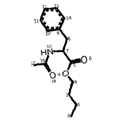 CCCCOC(=O)C(Cc1ccccc1)NC(C)=O